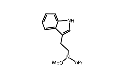 CCCN(CCc1c[nH]c2ccccc12)OC